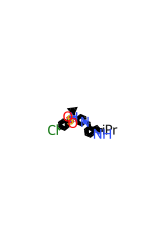 CC(C)c1cc2c(CN3CCC(N(C4CC4)S(=O)(=O)c4ccc(Cl)cc4)CC3)cccc2[nH]1